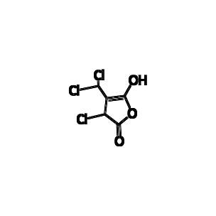 O=C1OC(O)=C(C(Cl)Cl)C1Cl